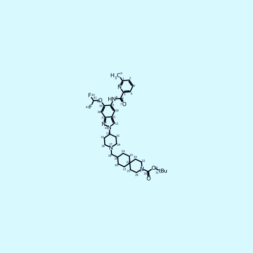 Cc1cccc(C(=O)Nc2cc3cn(C4CCN(CC5CCC6(CC5)CCN(C(=O)OC(C)(C)C)CC6)CC4)nc3cc2OC(F)F)n1